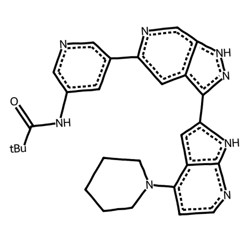 CC(C)(C)C(=O)Nc1cncc(-c2cc3c(-c4cc5c(N6CCCCC6)ccnc5[nH]4)n[nH]c3cn2)c1